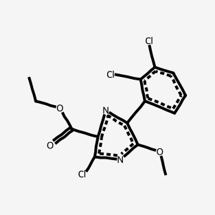 CCOC(=O)c1nc(-c2cccc(Cl)c2Cl)c(OC)nc1Cl